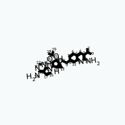 CC(C)c1cc2ccc(CC[C@@]34C[C@@H]3[C@@H](n3ccc5c(N)ncnc53)[C@@H]3OC(C)(C)O[C@@H]34)cc2nc1N